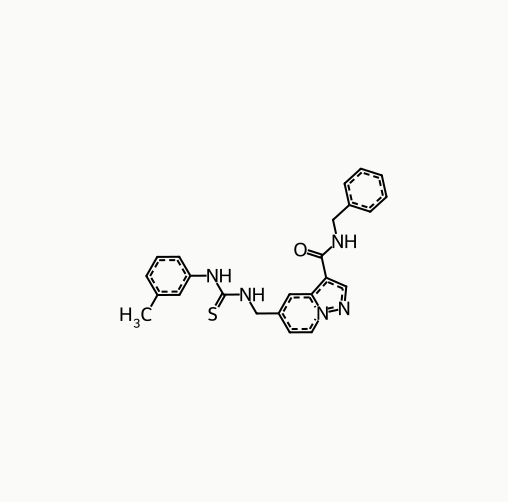 Cc1cccc(NC(=S)NCc2ccn3ncc(C(=O)NCc4ccccc4)c3c2)c1